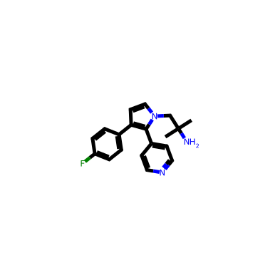 CC(C)(N)Cn1ccc(-c2ccc(F)cc2)c1-c1ccncc1